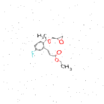 CCOC(=O)/C=C/c1cc(F)ccc1[C@@H](C)OC[C@H]1CO1